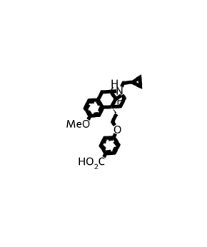 COc1ccc2c(c1)[C@]1(CCOc3ccc(C(=O)O)cc3)CCN(CC3CC3)[C@H](C2)[C@@H]1C